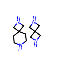 C1CC2(CCN1)CNC2.C1NCC12CNC2